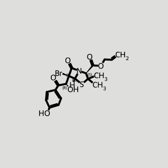 C=CCOC(=O)[C@@H]1N2C(=O)[C@@](Br)([C@H](O)C(=O)c3ccc(O)cc3)[C@H]2SC1(C)C